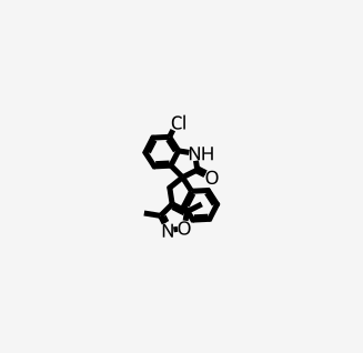 Cc1noc(C)c1CC1(c2ccccc2)C(=O)Nc2c(Cl)cccc21